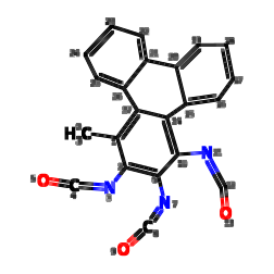 Cc1c(N=C=O)c(N=C=O)c(N=C=O)c2c3ccccc3c3ccccc3c12